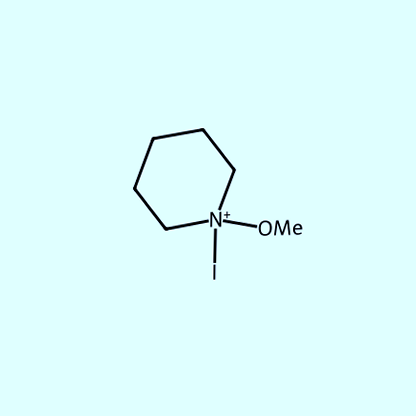 CO[N+]1(I)CCCCC1